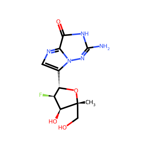 C[C@]1(CO)O[C@@H](c2cnc3c(=O)[nH]c(N)nn23)[C@H](F)[C@@H]1O